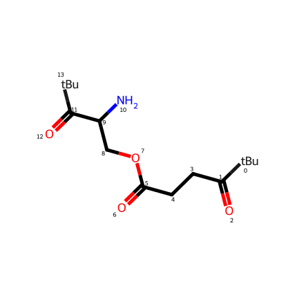 CC(C)(C)C(=O)CCC(=O)OCC(N)C(=O)C(C)(C)C